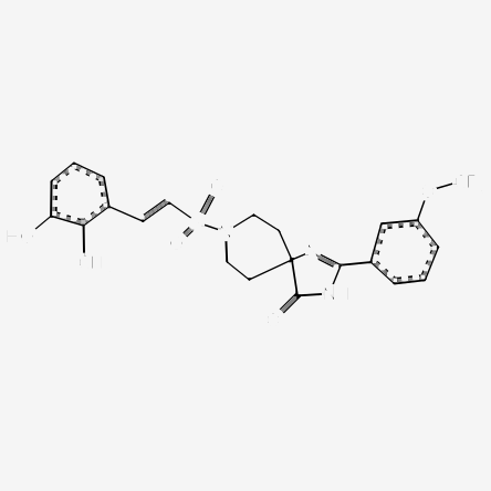 Cc1c(O)cccc1/C=C/S(=O)(=O)N1CCC2(CC1)N=C(c1cccc(OC(F)(F)F)c1)NC2=O